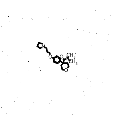 CN(C)C(=O)C1(c2ccc(OCCCN3CCCC3)cc2)CCOCC1